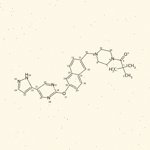 CC(C)(C)C(=O)N1CCN(Cc2ccc3cc(Oc4ncc(-c5ccn[nH]5)cn4)ccc3c2)CC1